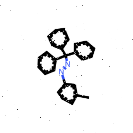 Cc1cccc(N=NC(c2ccccc2)(c2ccccc2)c2ccccc2)c1